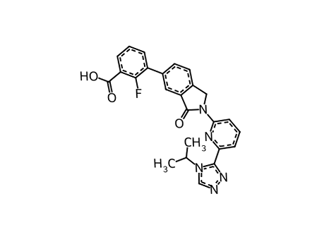 CC(C)n1cnnc1-c1cccc(N2Cc3ccc(-c4cccc(C(=O)O)c4F)cc3C2=O)n1